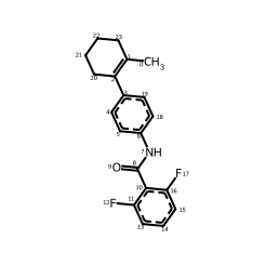 CC1=C(c2ccc(NC(=O)c3c(F)cccc3F)cc2)CCCC1